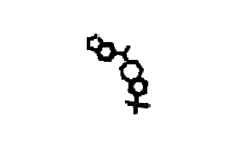 C[C@H](c1ccc2c(c1)OCC2)N1CCc2ccc(S(C)(=N)=O)cc2CC1